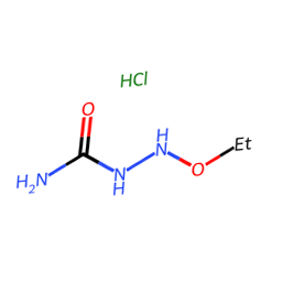 CCONNC(N)=O.Cl